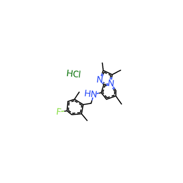 Cc1cc(NCc2c(C)cc(F)cc2C)c2nc(C)c(C)n2c1.Cl